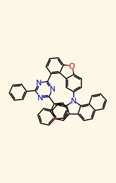 c1ccc(-c2nc(-c3ccccc3)nc(-c3cccc4oc5ccc(-n6c7cc8ccccc8cc7c7ccc8ccccc8c76)cc5c34)n2)cc1